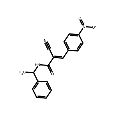 CC(NC(=O)/C(C#N)=C/c1ccc([N+](=O)[O-])cc1)c1ccccc1